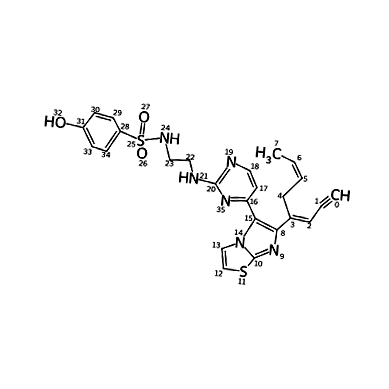 C#C/C=C(\C/C=C\C)c1nc2sccn2c1-c1ccnc(NCCNS(=O)(=O)c2ccc(O)cc2)n1